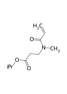 C=CC(=O)N(C)CCC(=O)OC(C)C